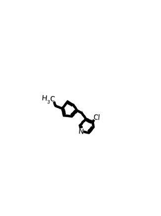 CCc1ccc([CH]c2cnccc2Cl)cc1